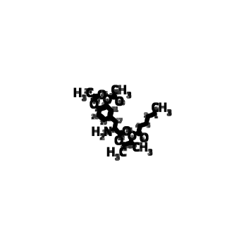 CCCCCC(=O)OC(C)[C@H](C)OC(=O)[C@@H](N)Cc1ccc(OC(C)=O)c(OC(C)=O)c1